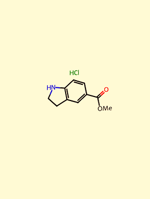 COC(=O)c1ccc2c(c1)CCN2.Cl